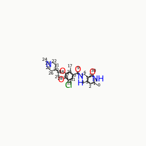 Cc1cc(C)c(CNC(=O)c2cc(Cl)c3c(c2C)OC(C2CCN(C)CC2)CO3)c(=O)[nH]1